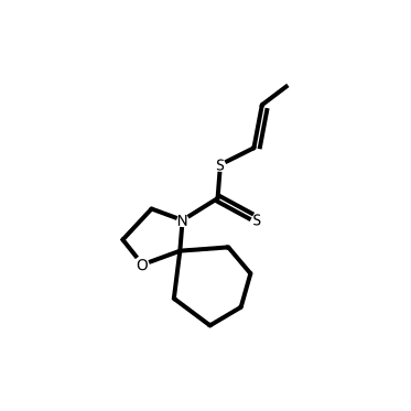 CC=CSC(=S)N1CCOC12CCCCC2